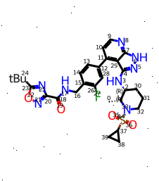 C[C@@H]1[C@H](Nc2n[nH]c3nccc(-c4ccc(CNC(=O)c5noc(C(C)(C)C)n5)c(F)c4)c23)CCCN1S(=O)(=O)C1CC1